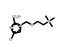 CCOC(=O)c1nc(Cl)cn1COCC[Si](C)(C)C